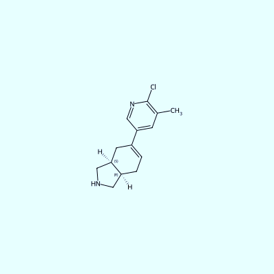 Cc1cc(C2=CC[C@H]3CNC[C@H]3C2)cnc1Cl